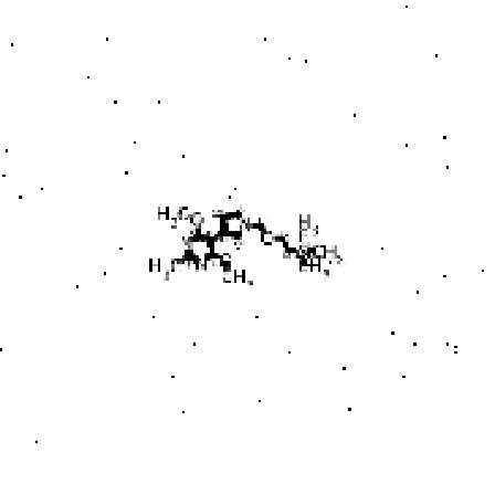 COc1nc(C)nc(OC)c1-c1ccn(COCC[Si](C)(C)C)c1